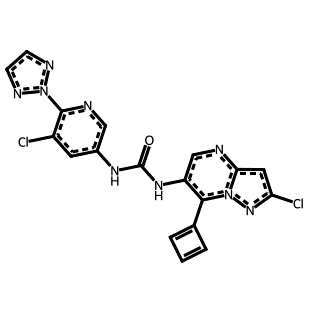 O=C(Nc1cnc(-n2nccn2)c(Cl)c1)Nc1cnc2cc(Cl)nn2c1C1=CC=C1